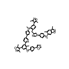 Cc1cc2c(C)noc2cc1N(C)c1ccc(-n2cnc(Cc3ccc(-c4c(C)noc4C)cc3N(C)c3ccc(-c4ccc(-c5cc(-c6c(C)noc6C)cc(N(C)c6ccc(-c7cnco7)cc6)c5C)nc4)cc3)c2)cc1